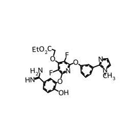 CCOC(=O)COc1c(F)c(Oc2cccc(-c3nccn3C)c2)nc(Oc2cc(C(=N)N)ccc2O)c1F